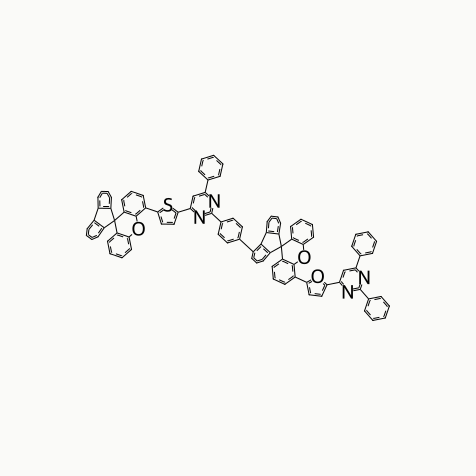 c1ccc(-c2cc(-c3ccc(-c4cccc5c4Oc4ccccc4C54c5ccccc5-c5c(-c6ccc(-c7nc(-c8ccccc8)cc(-c8ccc(-c9cccc%10c9Oc9ccccc9C%109c%10ccccc%10-c%10ccccc%109)s8)n7)cc6)cccc54)o3)nc(-c3ccccc3)n2)cc1